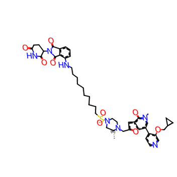 C[C@@H]1CN(S(=O)(=O)CCCCCCCCCCNc2cccc3c2C(=O)N(C2CCC(=O)NC2=O)C3=O)CCN1Cc1cc2c(=O)n(C)cc(-c3ccncc3OCC3CC3)c2o1